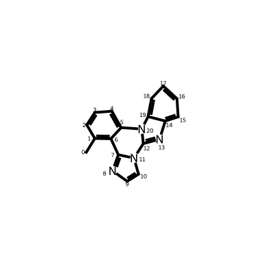 Cc1cccc2c1c1nccn1c1nc3ccccc3n21